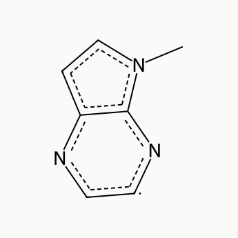 Cn1ccc2nc[c]nc21